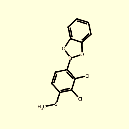 CSc1ccc(B2Oc3ccccc3O2)c(Cl)c1Cl